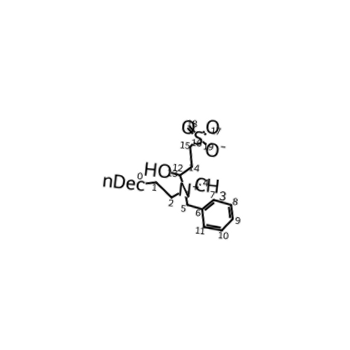 CCCCCCCCCCCC[N+](C)(Cc1ccccc1)C(O)CCS(=O)(=O)[O-]